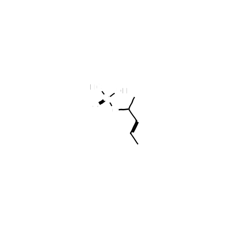 C/C=C/C(C)OP(=O)(O)O